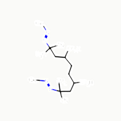 CC(C)(C)N=NC(C)(C#N)CC(CCC(CC(C)(C#N)N=NC(C)(C)C)C(=O)O)C(=O)O